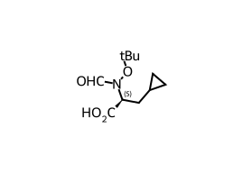 CC(C)(C)ON(C=O)[C@@H](CC1CC1)C(=O)O